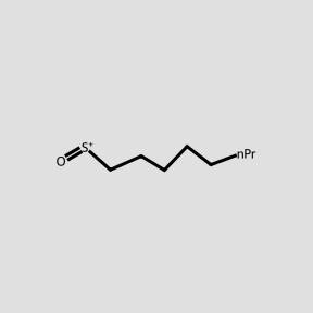 CCCCCCCC[S+]=O